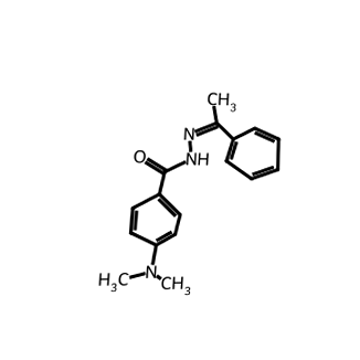 CC(=NNC(=O)c1ccc(N(C)C)cc1)c1ccccc1